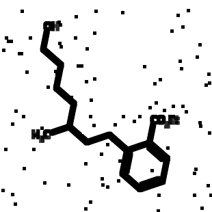 CCOC(=O)c1ccccc1CCC(C)CCCCO